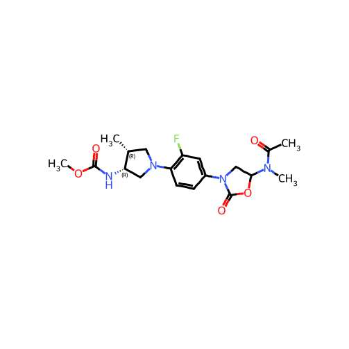 COC(=O)N[C@H]1CN(c2ccc(N3CC(N(C)C(C)=O)OC3=O)cc2F)C[C@H]1C